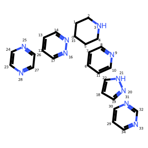 C1CCNCC1.c1ccncc1.c1ccnnc1.c1cn[nH]c1.c1cnccn1.c1cncnc1